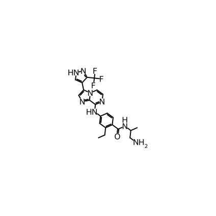 CCc1cc(Nc2nccn3c(-c4c[nH]nc4C(F)(F)F)cnc23)ccc1C(=O)NC(C)CN